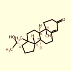 CC(O)[C@H]1CC[C@H]2[C@@H]3CCC4=CC(=O)CC[C@@]4(C)[C@@H]3CCC12C